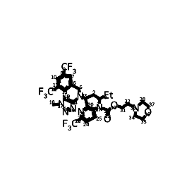 CCC1CC(N(Cc2cc(C(F)(F)F)cc(C(F)(F)F)c2)c2nnn(C)n2)c2nc(C(F)(F)F)ccc2N1C(=O)OCCN1CCOCC1